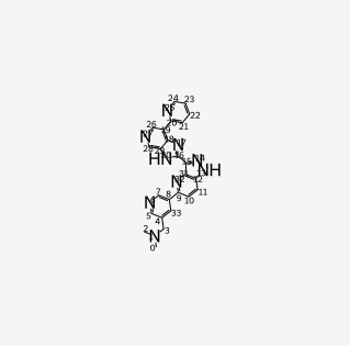 CN(C)Cc1cncc(-c2ccc3[nH]nc(-c4nc5c(-c6ccccn6)cncc5[nH]4)c3n2)c1